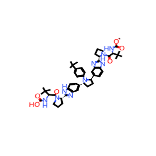 COC(=O)N[C@H](C(=O)N1CCC[C@H]1c1nc2cc([C@H]3CC[C@H](c4ccc5[nH]c([C@@H]6CCCN6C(=O)[C@@H](NC(=O)O)C(C)(C)C)nc5c4)N3c3ccc(C(C)(C)C)cc3)ccc2[nH]1)C(C)(C)C